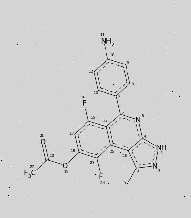 Cc1n[nH]c2nc(-c3ccc(N)cc3)c3c(F)cc(OC(=O)C(F)(F)F)c(F)c3c12